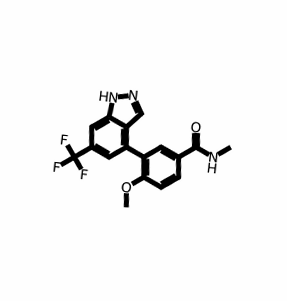 CNC(=O)c1ccc(OC)c(-c2cc(C(F)(F)F)cc3[nH]ncc23)c1